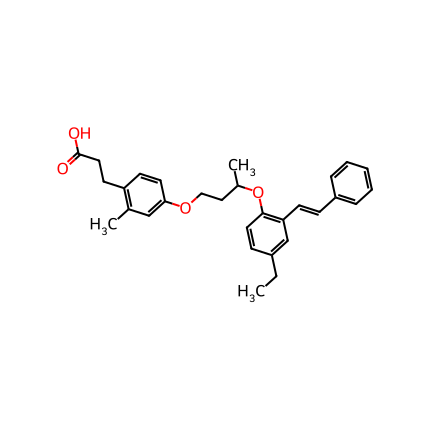 CCc1ccc(OC(C)CCOc2ccc(CCC(=O)O)c(C)c2)c(C=Cc2ccccc2)c1